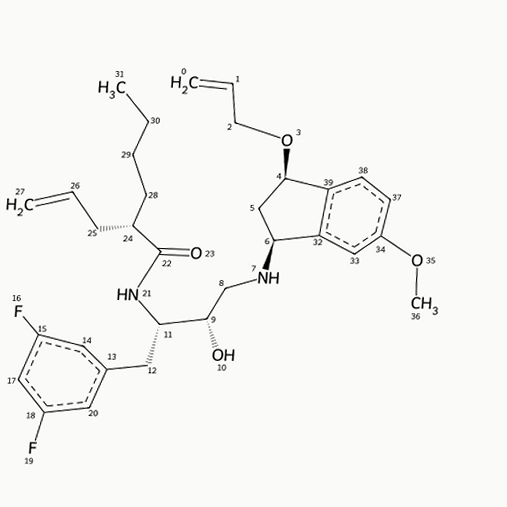 C=CCO[C@@H]1C[C@H](NC[C@H](O)[C@H](Cc2cc(F)cc(F)c2)NC(=O)[C@H](CC=C)CCCC)c2cc(OC)ccc21